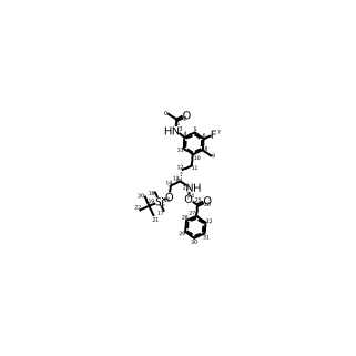 CC(=O)Nc1cc(F)c(C)c(CC[C@@H](CO[Si](C)(C)C(C)(C)C)NOC(=O)c2ccccc2)c1